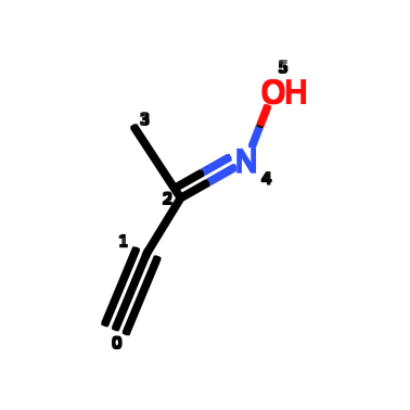 C#C/C(C)=N/O